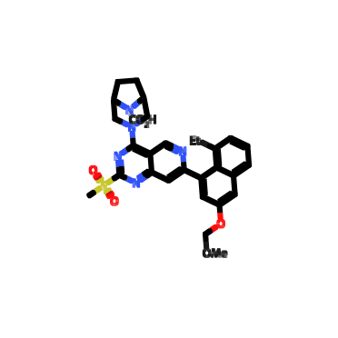 CCc1cccc2cc(OCOC)cc(-c3cc4nc(S(C)(=O)=O)nc(N5CC6CCC(C5)N6C(=O)O)c4cn3)c12